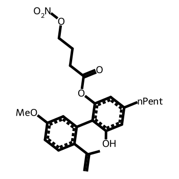 C=C(C)c1ccc(OC)cc1-c1c(O)cc(CCCCC)cc1OC(=O)CCCO[N+](=O)[O-]